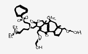 CCN(CC)CCCN(/C=C1\C(=O)OCC2(C)C1=C(COCO)C(=O)C1=C2C(OC(C)=O)CC2(C)C(COCO)CCC12)CCS(=O)(=O)c1ccccc1